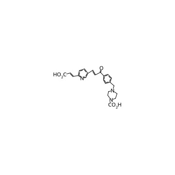 O=C(O)/C=C/c1ccc(/C=C/C(=O)c2ccc(CN3CCN(C(=O)O)CC3)cc2)cn1